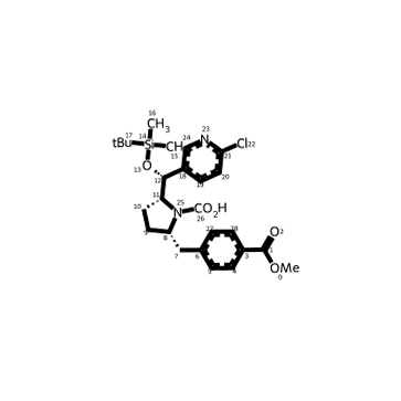 COC(=O)c1ccc(C[C@@H]2CC[C@H]([C@H](O[Si](C)(C)C(C)(C)C)c3ccc(Cl)nc3)N2C(=O)O)cc1